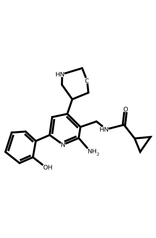 Nc1nc(-c2ccccc2O)cc(C2CCCNC2)c1CNC(=O)C1CC1